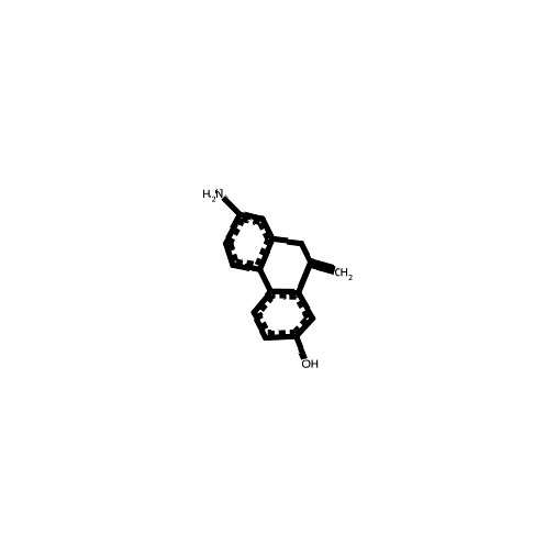 C=C1Cc2cc(N)ccc2-c2ccc(O)cc21